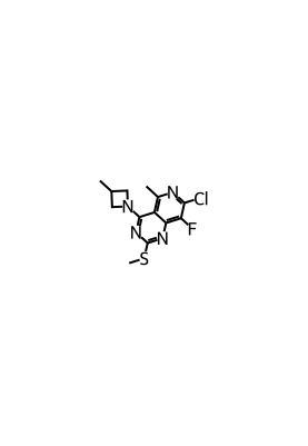 CSc1nc(N2CC(C)C2)c2c(C)nc(Cl)c(F)c2n1